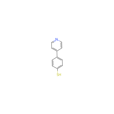 Sc1ccc(-c2ccncc2)cc1